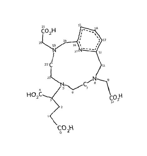 O=C(O)CCC(C(=O)O)N1CCN(CC(=O)O)Cc2cccc(n2)CN(CC(=O)O)CC1